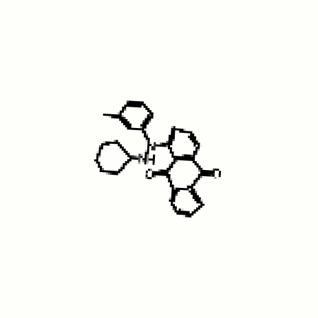 Cc1cccc(N(NC2CCCCC2)c2cccc3c2C(=O)c2ccccc2C3=O)c1